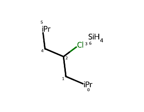 CC(C)CC(Cl)CC(C)C.[SiH4]